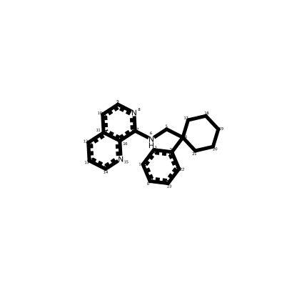 c1ccc(C2(CNc3nccc4cccnc34)CCCCC2)cc1